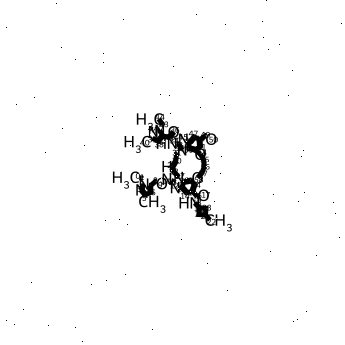 CCn1nc(C)cc1CONc1nc2cc(C(=O)NC3CC(C)C3)cc3c2n1C/C=C/Cn1c(NC(=O)c2cc(C)nn2CC)nc2cc(C=O)cc(c21)OCCCO3